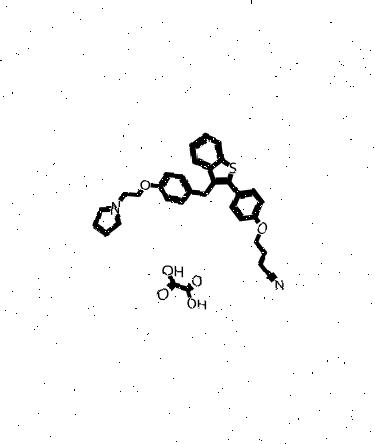 N#CCCCOc1ccc(-c2sc3ccccc3c2Cc2ccc(OCCN3CCCC3)cc2)cc1.O=C(O)C(=O)O